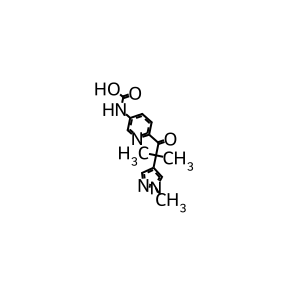 Cn1cc(C(C)(C)C(=O)c2ccc(NC(=O)O)cn2)cn1